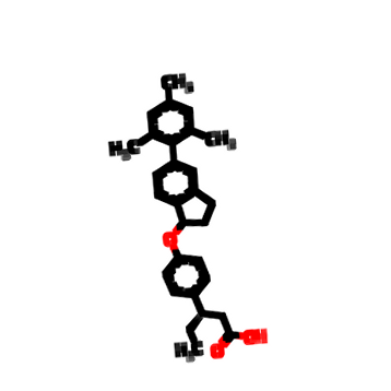 CC[C@H](CC(=O)O)c1ccc(OC2CCc3cc(-c4c(C)cc(C)cc4C)ccc32)cc1